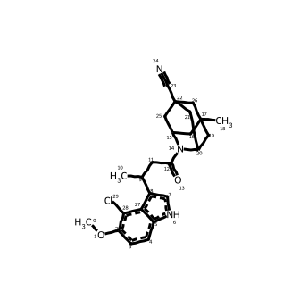 COc1ccc2[nH]cc(C(C)CC(=O)N3C4CC5(C)CC3CC(C#N)(C4)C5)c2c1Cl